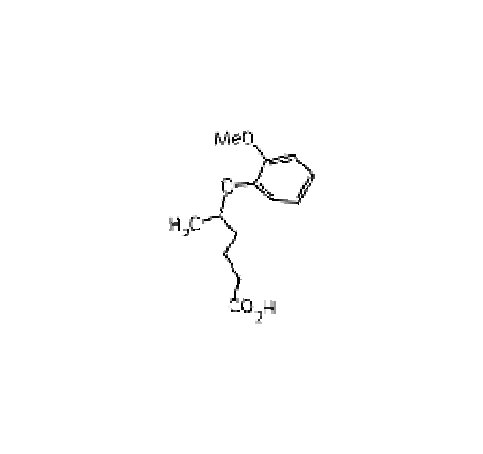 COc1ccccc1OC(C)CCCC(=O)O